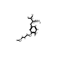 COCCCOc1cc(CC(N)C(C)C)ccc1F